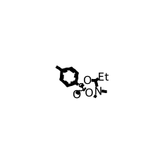 CCC(OS(=O)(=O)c1ccc(C)cc1)N(C)C